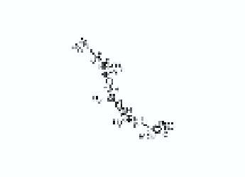 CCC(=O)N(CCCCCC(=O)NCC(=O)NC(C)C(=O)Nc1ccc(NC(=O)c2sc(-c3ccc(NC(=O)c4cc(NC(=O)CCCOc5cc6c(cc5OC)C(=O)N5CCCCC5C=N6)cn4C)cn3)cc2C)cc1)C(C)=O